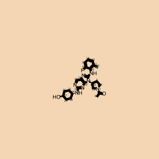 CC(=O)N1CC[C@H](n2c(Nc3c(F)cccc3F)nc3cnc(N[C@H]4CC[C@H](O)CC4)nc32)C1